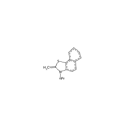 C=C1Sc2c(ccc3ccccc23)N1CCC